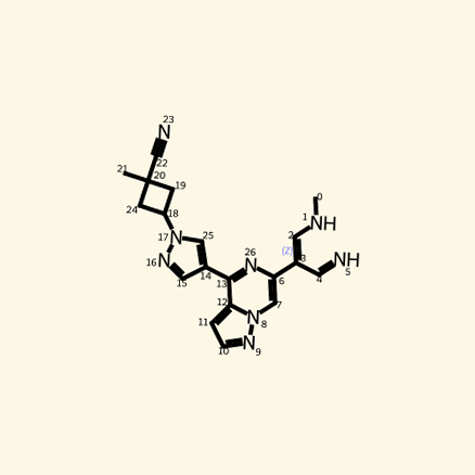 CN/C=C(\C=N)c1cn2nccc2c(-c2cnn(C3CC(C)(C#N)C3)c2)n1